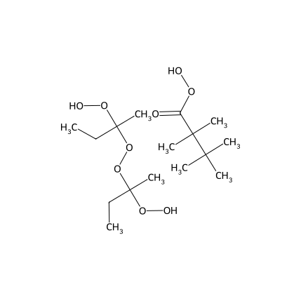 CC(C)(C)C(C)(C)C(=O)OO.CCC(C)(OO)OOC(C)(CC)OO